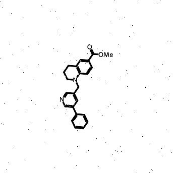 COC(=O)c1ccc2c(c1)CCCN2Cc1cncc(-c2ccccc2)c1